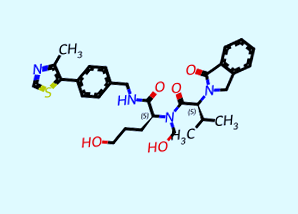 Cc1ncsc1-c1ccc(CNC(=O)[C@H](CCCO)N(CO)C(=O)[C@H](C(C)C)N2Cc3ccccc3C2=O)cc1